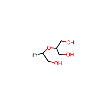 CC(C)C(CO)OC(CO)CO